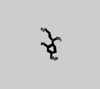 CN(C=NN)c1ccc(S(=O)(=O)O)cc1S